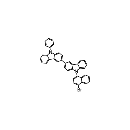 Brc1ccc(-n2c3ccccc3c3cc(-c4ccc5c(c4)c4ccccc4n5-c4ccccc4)ccc32)c2ccccc12